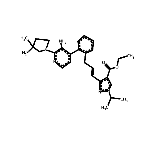 CCOC(=O)c1cn(C(C)C)nc1/C=C/Cc1ccccc1-c1ccnc(N2CCC(C)(P)C2)c1N